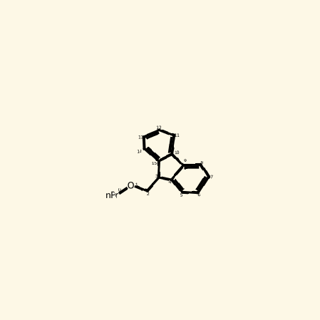 CCCOCC1c2ccccc2-c2ccccc21